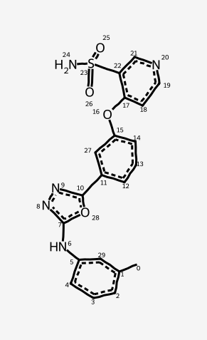 Cc1cccc(Nc2nnc(-c3cccc(Oc4ccncc4S(N)(=O)=O)c3)o2)c1